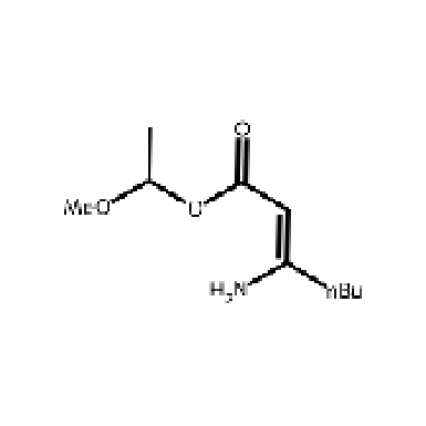 CCCCC(N)=CC(=O)OC(C)OC